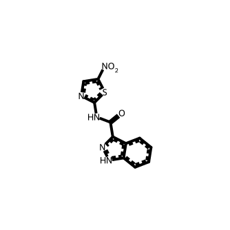 O=C(Nc1ncc([N+](=O)[O-])s1)c1n[nH]c2ccccc12